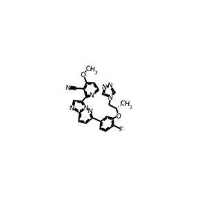 COc1ccnc(-c2cnc3ccc(-c4ccc(F)c(O[C@@H](C)Cn5cnnc5)c4)nn23)c1C#N